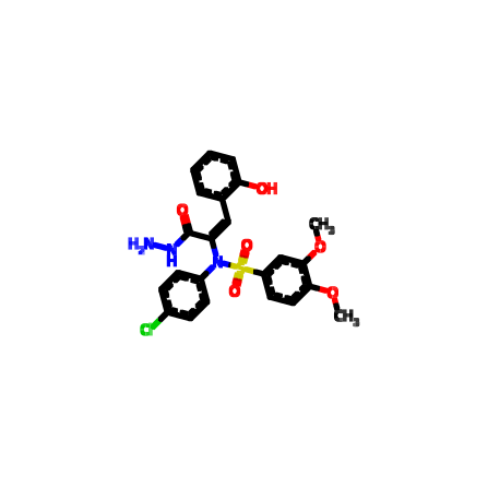 COc1ccc(S(=O)(=O)N(C(=Cc2ccccc2O)C(=O)NN)c2ccc(Cl)cc2)cc1OC